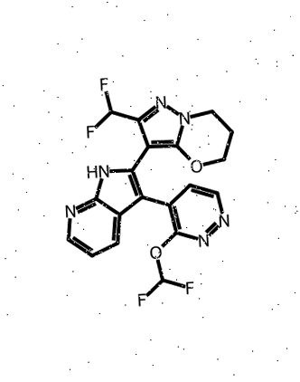 FC(F)Oc1nnccc1-c1c(-c2c(C(F)F)nn3c2OCCC3)[nH]c2ncccc12